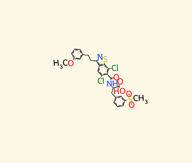 COc1cccc(CCc2nsc3c(Cl)c(C(=O)NC(Cc4cccc(S(C)(=O)=O)c4)C(=O)O)c(Cl)cc23)c1